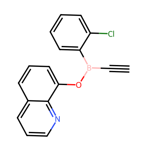 C#CB(Oc1cccc2cccnc12)c1ccccc1Cl